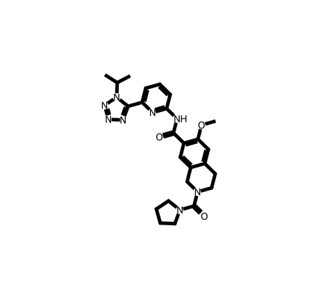 COc1cc2c(cc1C(=O)Nc1cccc(-c3nnnn3C(C)C)n1)CN(C(=O)N1CCCC1)CC2